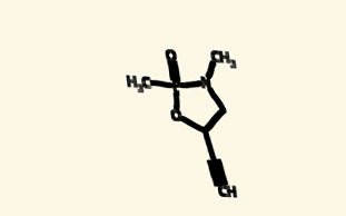 C#CC1CN(C)P(C)(=O)O1